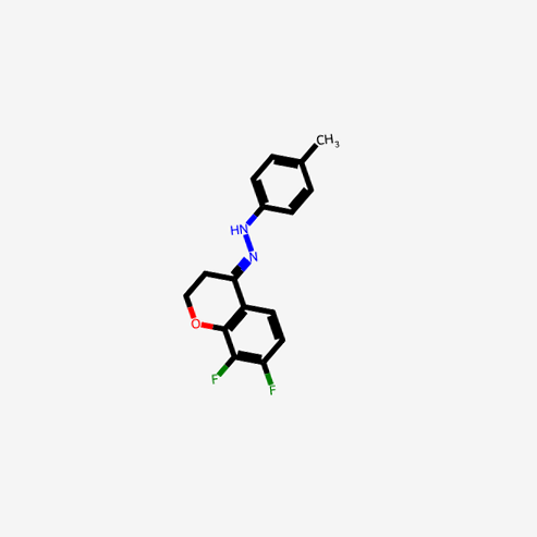 Cc1ccc(NN=C2CCOc3c2ccc(F)c3F)cc1